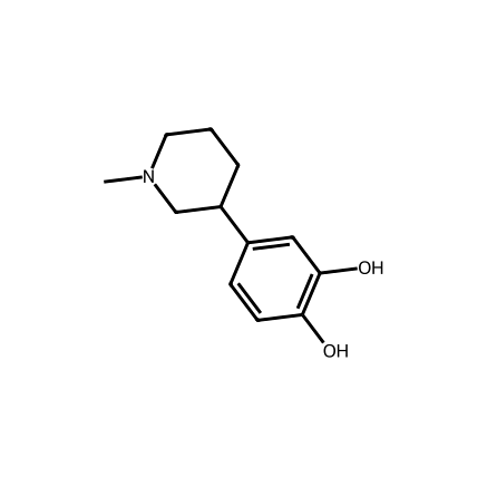 CN1CCCC(c2ccc(O)c(O)c2)C1